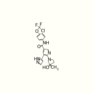 C[C@]1(O)CCN(c2ncc(C(=O)Nc3ccc(OC(F)(F)Cl)cc3)cc2-c2ccn[nH]2)C1